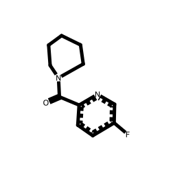 O=C(c1ccc(F)cn1)N1CCCCC1